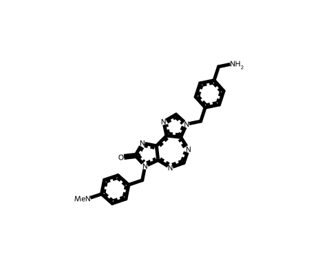 CNc1ccc(Cn2c3ncnc4c(ncn4Cc4ccc(CN)cc4)c-3nc2=O)cc1